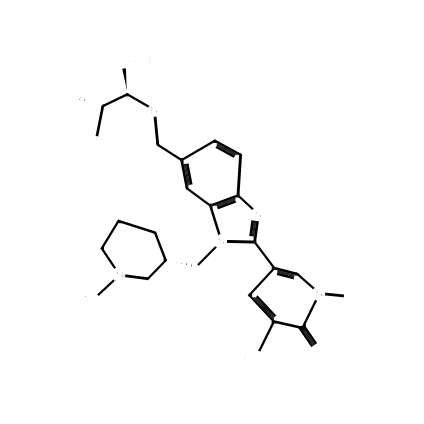 CC(=O)N1CCC[C@H](Cn2c(-c3cc(C)c(=O)n(C)c3)nc3ccc(CN[C@H](C(=O)O)[C@@H](C)O)cc32)C1